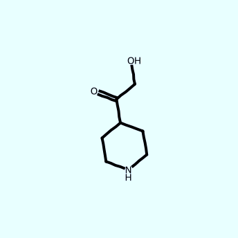 O=C(CO)C1CCNCC1